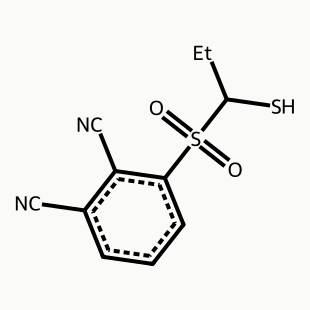 CCC(S)S(=O)(=O)c1cccc(C#N)c1C#N